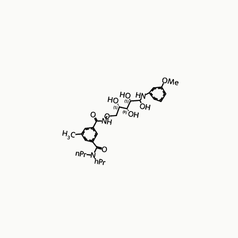 CCCN(CCC)C(=O)c1cc(C)cc(C(=O)NOC[C@H](O)[C@@H](O)[C@H](O)C(O)Nc2cccc(OC)c2)c1